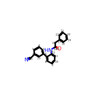 N#Cc1cccc(-c2ccccc2NC(=O)Cc2ccccc2)c1